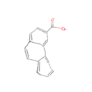 [O]C(=O)c1ccc2ccc3ccccc3c2c1